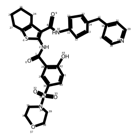 O=C(Nc1sc2c(c1C(=O)Nc1ccc(Cc3ccncc3)cc1)CCCC2)c1cc(S(=O)(=O)N2CCOCC2)ccc1O